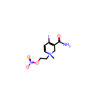 C[N+]1(CCO[N+](=O)[O-])C=CC(I)=C(C(N)=O)C1